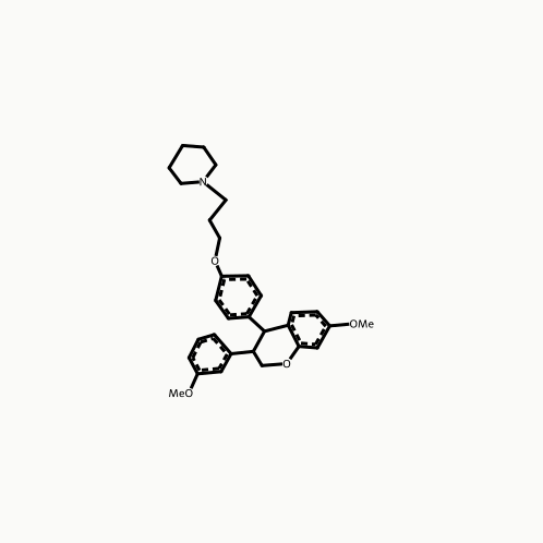 COc1cccc(C2COc3cc(OC)ccc3C2c2ccc(OCCCN3CCCCC3)cc2)c1